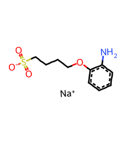 Nc1ccccc1OCCCCS(=O)(=O)[O-].[Na+]